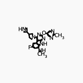 CNc1cc(F)cc2c1[nH]c1nc(Oc3cnc(C)nc3)nc(N3CCC(C4CNC4)C3)c12